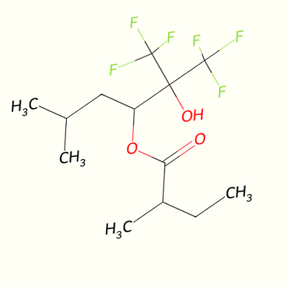 CCC(C)C(=O)OC(CC(C)C)C(O)(C(F)(F)F)C(F)(F)F